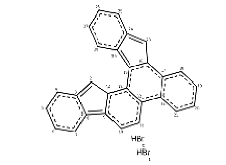 Br.Br.C1=c2ccccc2=c2ccc3c(c21)c1c(c2ccccc23)C=c2ccccc2=1